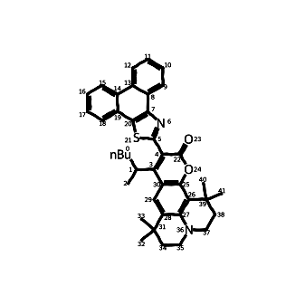 CCCCC(C)c1c(-c2nc3c4ccccc4c4ccccc4c3s2)c(=O)oc2c3c4c(cc12)C(C)(C)CCN4CCC3(C)C